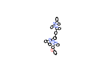 c1ccc2c(-c3ccc(-c4ccc5c(c4)c4nc6c7ccccc7c7ccccc7n6c4n5-c4nc(-c5ccc6oc7ccccc7c6c5)c5ccccc5n4)cc3)cc(-n3c4ccccc4c4nc5c6ccccc6c6ccccc6n5c43)nc2c1